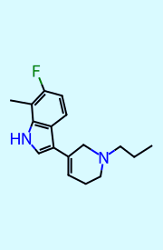 CCCN1CCC=C(c2c[nH]c3c(C)c(F)ccc23)C1